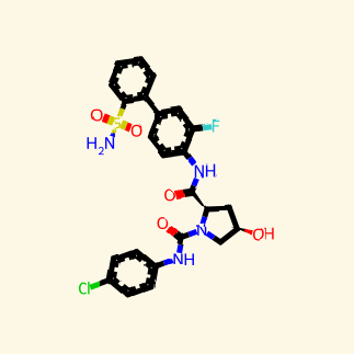 NS(=O)(=O)c1ccccc1-c1ccc(NC(=O)[C@H]2C[C@@H](O)CN2C(=O)Nc2ccc(Cl)cc2)c(F)c1